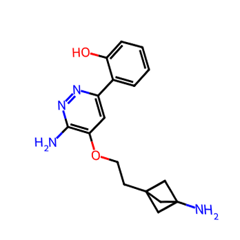 Nc1nnc(-c2ccccc2O)cc1OCCC12CC(N)(C1)C2